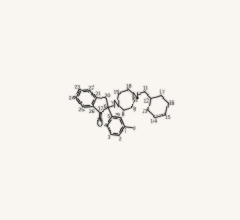 Cc1cccc(C2(N3CCN(CC4CCCCC4)CC3)Cc3ccccc3C2=O)c1